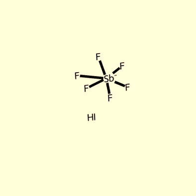 I.[F][Sb-]([F])([F])([F])([F])[F]